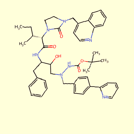 CCC(C)[C@@H](C(=O)NC(Cc1ccccc1)C(O)CN(Cc1ccc(-c2ccccn2)cc1)NC(=O)OC(C)(C)C)N1CCN(Cc2ccnc3ccccc23)C1=O